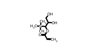 C=CC(=O)OC(C(O)CO)[Si](C)(C)C